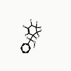 FOC(F)(c1ccccc1)C1(F)C(F)=C(F)C(F)C(F)(F)C1(F)F